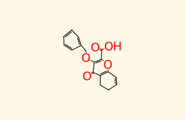 O=C(O)c1oc2c(c(=O)c1OCc1ccccc1)CCC=C2